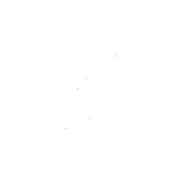 COc1cccc(-c2ncc(N)c(-c3c[nH]c(C(=O)O)c3)n2)c1